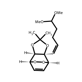 COC(CC/C=C\[C@@]12OC(C)(C)O[C@@H]1[C@@H]1C=C[C@H]2OO1)OC